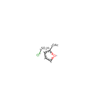 CC(=O)Oc1ccco1.O=S(=O)(O)Cl